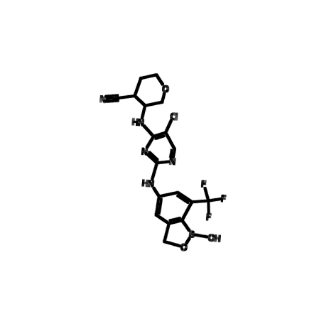 N#CC1CCOCC1Nc1nc(Nc2cc3c(c(C(F)(F)F)c2)B(O)OC3)ncc1Cl